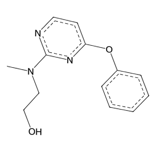 CN(CCO)c1nccc(Oc2ccccc2)n1